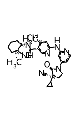 CN[C@H]1CCCC[C@@H]1N(C)C(=O)c1cnc(Nc2cc(N3CC[C@@](C#N)(C4CC4)C3=O)ccn2)cc1C